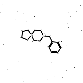 c1ccc(CN2CC[Si]3(CCCC3)CC2)cc1